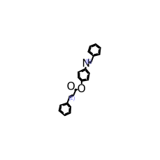 O=C(/C=C/c1ccccc1)Oc1ccc(/N=C/c2ccccc2)cc1